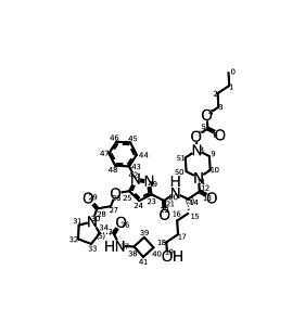 CCCCOC(=O)ON1CCN(C(=O)[C@H](CCCCO)NC(=O)c2cc(OCC(=O)N3CCC[C@H]3C(=O)NC3CCC3)n(-c3ccccc3)n2)CC1